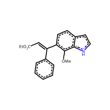 CCOC(=O)/C=C(\c1ccccc1)c1ccc2cc[nH]c2c1OC